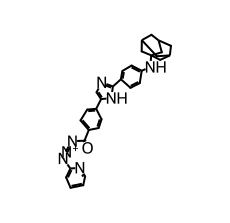 O=C(N=[N+]=Nc1ccccn1)c1ccc(-c2cnc(-c3ccc(NC45CC6CC(CC(C6)C4)C5)cc3)[nH]2)cc1